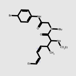 CC/C=C\C=C/C(C)C(NC(=O)OCC)C(=O)N(CCCC)CC(=O)NC1=CCC(Br)C=C1